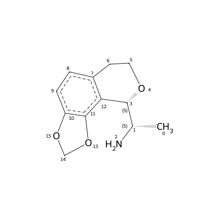 C[C@H](N)[C@H]1OCCc2ccc3c(c21)OCO3